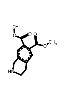 COC(=O)c1cc2c(cc1C(=O)OC)CNCC2